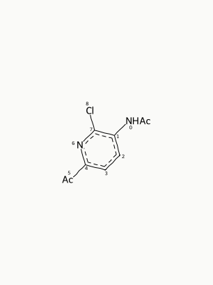 CC(=O)Nc1ccc(C(C)=O)nc1Cl